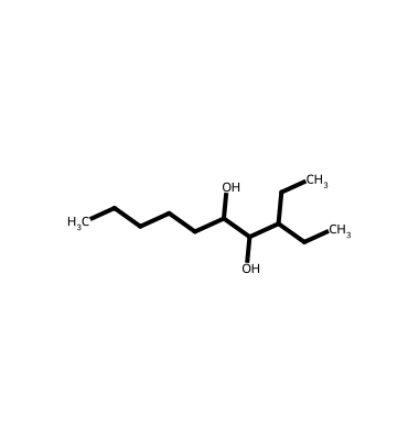 CCCCCC(O)C(O)C(CC)CC